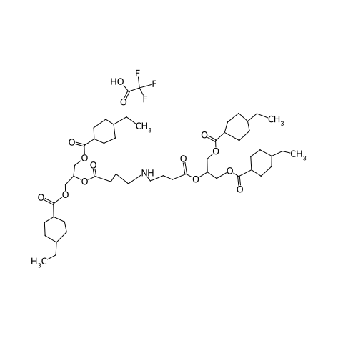 CCC1CCC(C(=O)OCC(COC(=O)C2CCC(CC)CC2)OC(=O)CCCNCCCC(=O)OC(COC(=O)C2CCC(CC)CC2)COC(=O)C2CCC(CC)CC2)CC1.O=C(O)C(F)(F)F